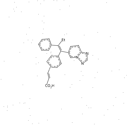 CC/C(=C(/c1ccc(/C=C/C(=O)O)cc1)c1ccc2ncnn2c1)c1ccccc1